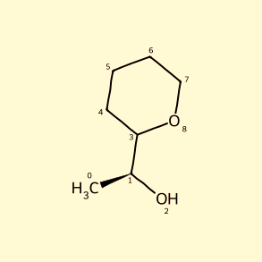 C[C@H](O)C1CCCCO1